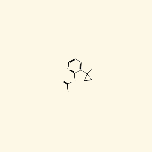 CC1(c2cccnc2OC(=O)O)CC1